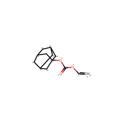 C=COC(=O)OC12CC3CC(CC(C3)C1)C2